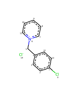 Clc1ccc(C[n+]2ccccc2)cc1.[Cl-]